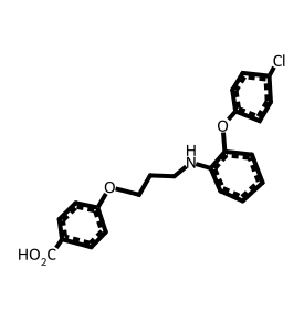 O=C(O)c1ccc(OCCCNc2ccccc2Oc2ccc(Cl)cc2)cc1